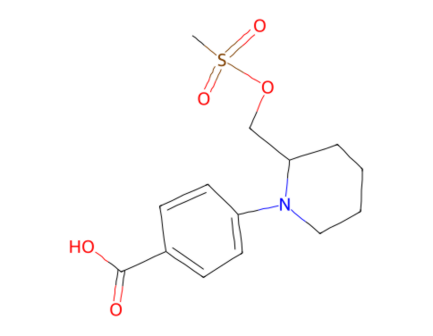 CS(=O)(=O)OCC1CCCCN1c1ccc(C(=O)O)cc1